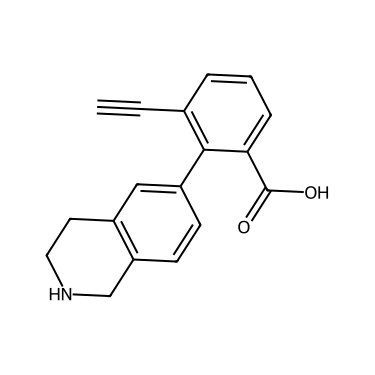 C#Cc1cccc(C(=O)O)c1-c1ccc2c(c1)CCNC2